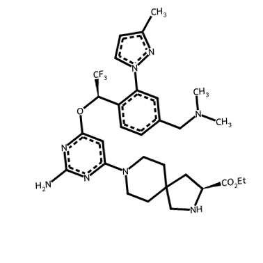 CCOC(=O)[C@@H]1CC2(CCN(c3cc(O[C@H](c4ccc(CN(C)C)cc4-n4ccc(C)n4)C(F)(F)F)nc(N)n3)CC2)CN1